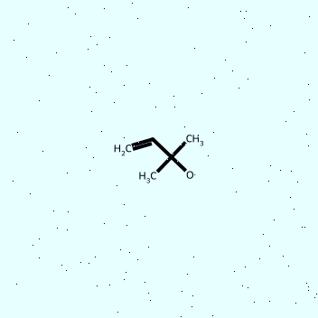 C=CC(C)(C)[O]